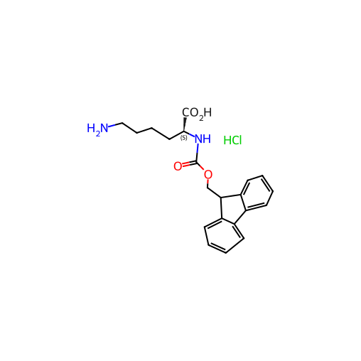 Cl.NCCCC[C@H](NC(=O)OCC1c2ccccc2-c2ccccc21)C(=O)O